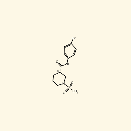 CS(=O)(=O)N1CCC[C@H](C(=O)Nc2ccc(Br)cc2)C1